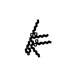 CCCCCCCCC(CN(CCCN1CCN(C)CC1)CC(CCCCCCCC)OC(=O)CCCCCCC)OC(=O)CCCCCCC